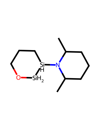 CC1CCCC(C)N1[SiH]1CCCO[SiH2]1